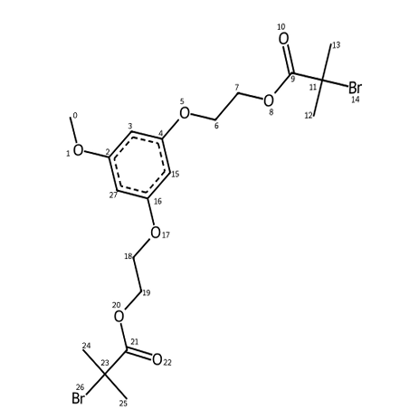 COc1cc(OCCOC(=O)C(C)(C)Br)cc(OCCOC(=O)C(C)(C)Br)c1